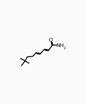 CC(C)(C)CCC=CC=CC(N)=O